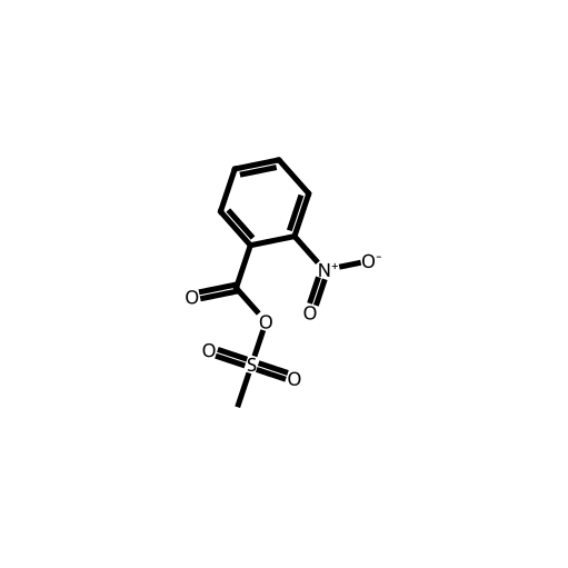 CS(=O)(=O)OC(=O)c1ccccc1[N+](=O)[O-]